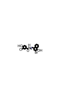 O=C(N/N=C/c1cc(Br)c(O)c2ccccc12)c1ccc(O)c(Cl)c1